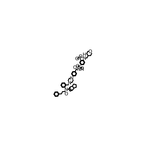 O=C(NS(=O)(=O)c1ccc(NCC2CCOCC2)c([N+](=O)[O-])c1)c1ccc(N2CCN(Cc3ccccc3N(C(=O)CCc3ccccc3)C3CC4CC3C3CCCC43)CC2)cc1